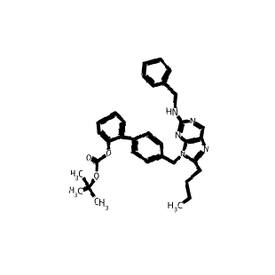 CCCCc1nc2cnc(NCc3ccccc3)nc2n1Cc1ccc(-c2ccccc2OC(=O)OC(C)(C)C)cc1